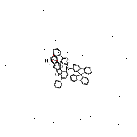 CC1(C)c2ccccc2-c2ccc(N(c3ccc4c(c3)C3(c5ccccc5-c5ccccc53)c3ccccc3-4)c3ccc(-c4ccccc4)c4oc5cc6ccccc6cc5c34)cc21